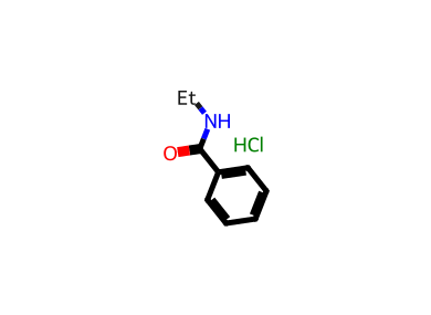 CCNC(=O)c1ccccc1.Cl